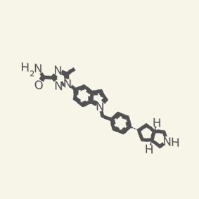 Cc1nc(C(N)=O)nn1-c1ccc2c(ccn2Cc2ccc([C@@H]3C[C@H]4CNC[C@H]4C3)cc2)c1